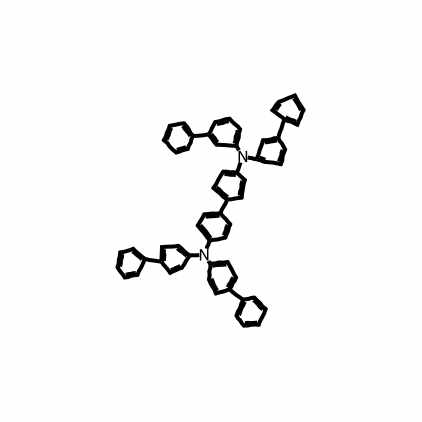 c1ccc(-c2ccc(N(c3ccc(-c4ccccc4)cc3)c3ccc(-c4ccc(N(c5cccc(-c6ccccc6)c5)c5cccc(-c6ccccc6)c5)cc4)cc3)cc2)cc1